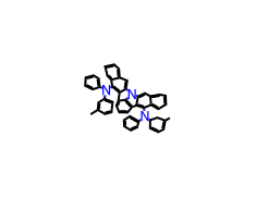 CC1=CC=CC(N(c2ccccc2)c2c3ccccc3cc3c2c2cccc4c5c(N(c6ccccc6)c6cccc(C)c6)c6ccccc6cc5n3c42)C1